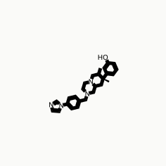 CC1CN2CCN(Cc3ccc(-n4ccnc4)cc3)CC2C[C@@]1(C)c1cccc(O)c1